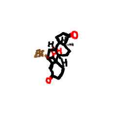 C[C@]12CC[C@H]3[C@@H](CCC4=CC(=O)C=CC43C(O)CBr)[C@@H]1CCC2=O